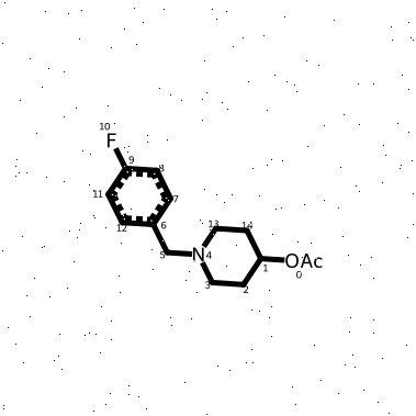 CC(=O)OC1CCN(Cc2ccc(F)cc2)CC1